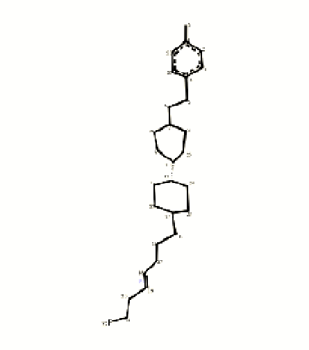 Cc1ccc(CCC2CCC([C@H]3CC[C@H](CCC/C=C/CCF)CC3)CC2)cc1